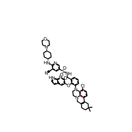 CC1(C)CCC(CN2CCN(c3cccc(C(=O)NS(=O)(=O)c4cnc(N[C@H]5CC[C@H](N6CCOCC6)CC5)c(C#N)c4)c3Oc3cnc4[nH]ccc4c3)CC2)=C(c2ccc(Cl)cc2)C1